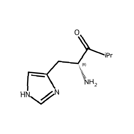 CC(C)C(=O)[C@H](N)Cc1c[nH]cn1